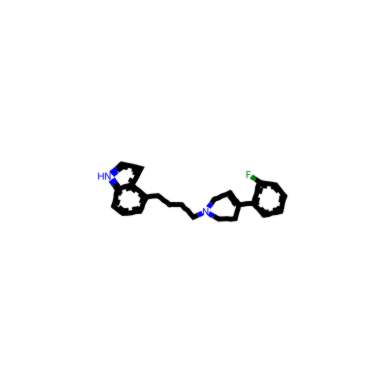 Fc1ccccc1C1=CCN(CCCCc2cccc3[nH]ccc23)CC1